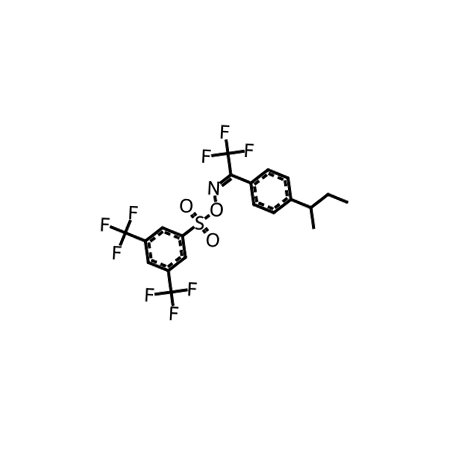 CCC(C)c1ccc(/C(=N\OS(=O)(=O)c2cc(C(F)(F)F)cc(C(F)(F)F)c2)C(F)(F)F)cc1